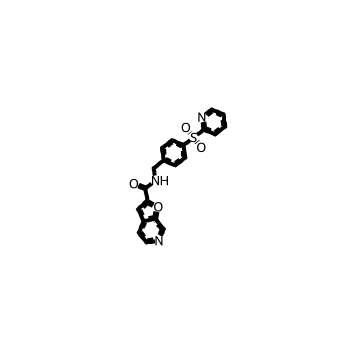 O=C(NCc1ccc(S(=O)(=O)c2ccccn2)cc1)c1cc2ccncc2o1